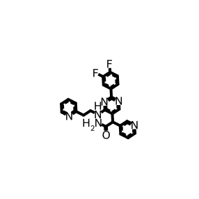 NC(=O)C(c1cccnc1)c1cnc(-c2ccc(F)c(F)c2)nc1NCCc1ccccn1